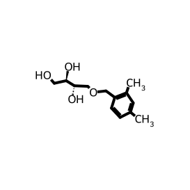 Cc1ccc(COC[C@H](O)[C@H](O)CO)c(C)c1